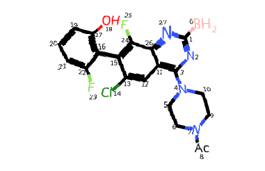 Bc1nc(N2CCN(C(C)=O)CC2)c2cc(Cl)c(-c3c(O)cccc3F)c(F)c2n1